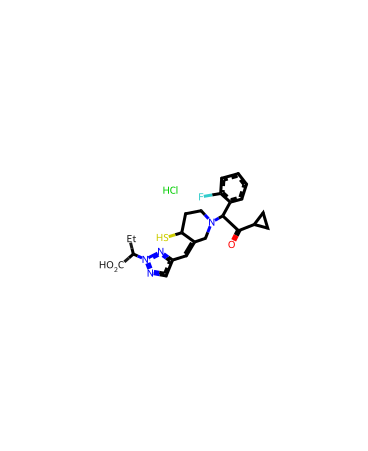 CCC(C(=O)O)n1ncc(C=C2CN(C(C(=O)C3CC3)c3ccccc3F)CCC2S)n1.Cl